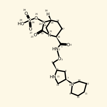 O=C(NOC[C@H]1C[C@@H](N2CCCCC2)CN1)[C@@H]1CC[C@@H]2CN1C(=O)N2OS(=O)(=O)O